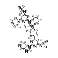 CC(CC1OCCN(c2cc(N=S(C)(C)=O)nc(-n3cnc4cnccc43)n2)[C@@H]1C)c1nc2ccccc2n1-c1nc(N=S(C)(C)=O)cc(N2CCOC[C@H]2C)n1